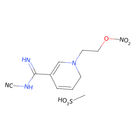 CS(=O)(=O)O.N#CNC(=N)C1=CN(CCO[N+](=O)[O-])CC=C1